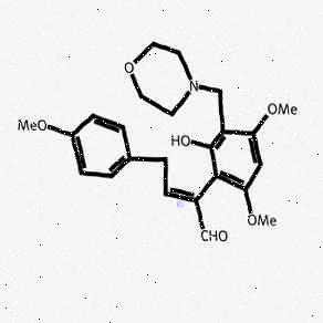 COc1ccc(C/C=C(/C=O)c2c(OC)cc(OC)c(CN3CCOCC3)c2O)cc1